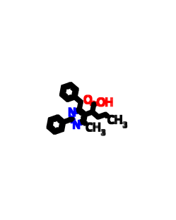 CCCC(C(=O)O)c1c(C)nc(-c2ccccc2)nc1Cc1ccccc1